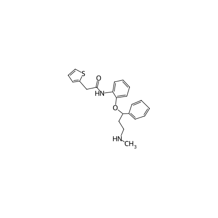 CNCCC(Oc1ccccc1NC(=O)Cc1cccs1)c1ccccc1